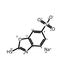 O=S(=O)([O-])c1ccc2nc(S)oc2c1.[Na+]